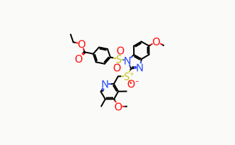 CCOC(=O)c1ccc(S(=O)(=O)n2c([S+]([O-])Cc3ncc(C)c(OC)c3C)nc3cc(OC)ccc32)cc1